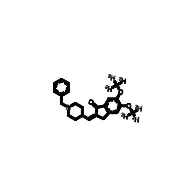 [2H]C([2H])([2H])Oc1cc2c(cc1OC([2H])([2H])[2H])C(=O)/C(=C\C1CCN(Cc3ccccc3)CC1)C2